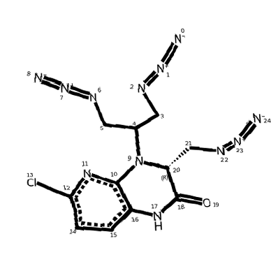 [N-]=[N+]=NCC(CN=[N+]=[N-])N1c2nc(Cl)ccc2NC(=O)[C@H]1CN=[N+]=[N-]